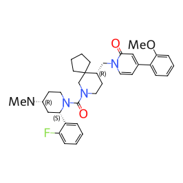 CN[C@@H]1CCN(C(=O)N2CC[C@@H](Cn3ccc(-c4ccccc4OC)cc3=O)C3(CCCC3)C2)[C@H](c2ccccc2F)C1